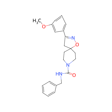 COc1cccc(C2=NOC3(CCN(C(=O)NCc4ccccc4)CC3)C2)c1